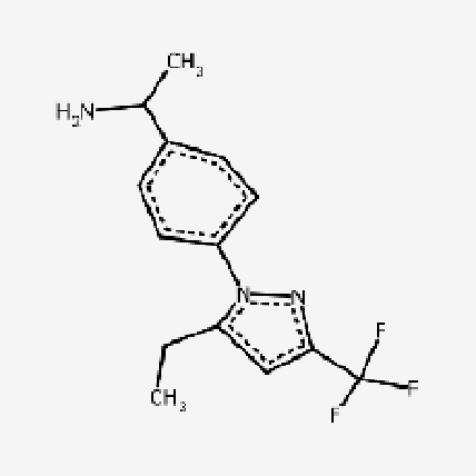 CCc1cc(C(F)(F)F)nn1-c1ccc(C(C)N)cc1